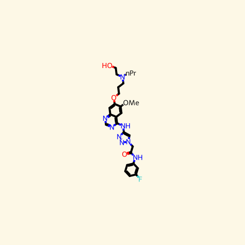 CCCN(CCO)CCCOc1cc2ncnc(Nc3cn(CC(=O)Nc4cccc(F)c4)nn3)c2cc1OC